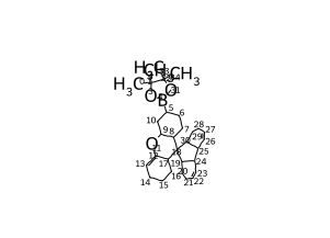 CC1(C)OB(C2CCC3C(C2)OC2=CCCCC2C32C3CCC=CC3C3C=CCCC32)OC1(C)C